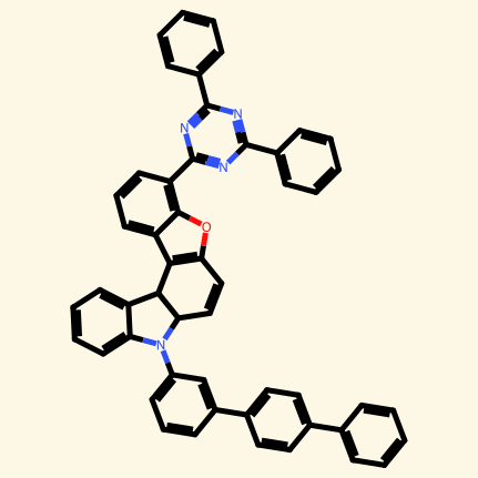 C1=CC2C(c3ccccc3N2c2cccc(-c3ccc(-c4ccccc4)cc3)c2)c2c1oc1c(-c3nc(-c4ccccc4)nc(-c4ccccc4)n3)cccc21